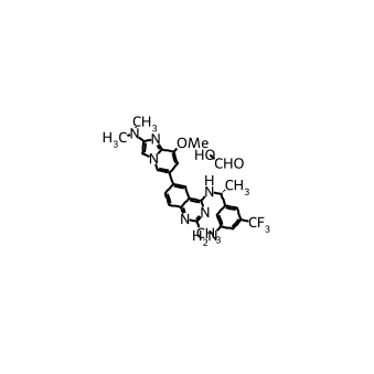 COc1cc(-c2ccc3nc(C)nc(N[C@H](C)c4cc(N)cc(C(F)(F)F)c4)c3c2)cn2cc(N(C)C)nc12.O=CO